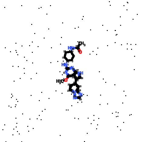 COc1nc(N[C@H]2CC[C@@H](NC(C)=O)CC2)nc2[nH]cc(-c3ccn4ncnc4c3)c12